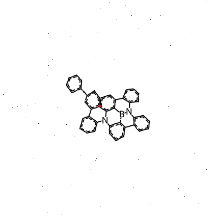 c1ccc(-c2cccc(-c3ccccc3N3c4cccc5c4B4c6c(cccc63)-c3ccccc3N4c3ccccc3-5)c2)cc1